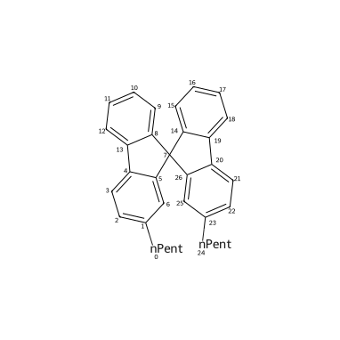 CCCCCc1ccc2c(c1)C1(c3ccccc3-2)c2ccccc2-c2ccc(CCCCC)cc21